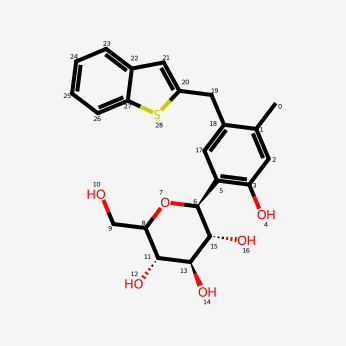 Cc1cc(O)c([C@@H]2OC(CO)[C@@H](O)[C@H](O)[C@H]2O)cc1Cc1cc2ccccc2s1